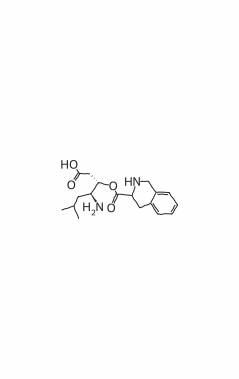 CC(C)C[C@H](N)[C@H](CC(=O)O)OC(=O)C1Cc2ccccc2CN1